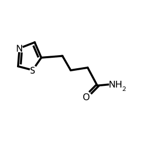 NC(=O)CCCc1cncs1